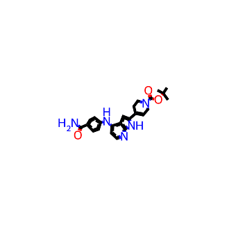 CC(C)(C)OC(=O)N1CC=C(c2cc3c(Nc4ccc(C(N)=O)cc4)ccnc3[nH]2)CC1